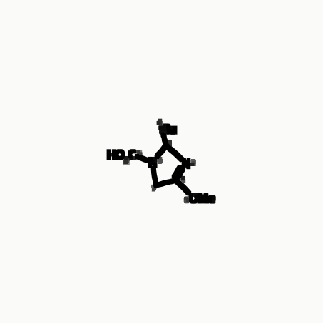 COC1=NC(C(C)(C)C)N(C(=O)O)C1